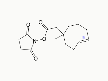 CC1(CC(=O)ON2C(=O)CCC2=O)CC/C=C/CCC1